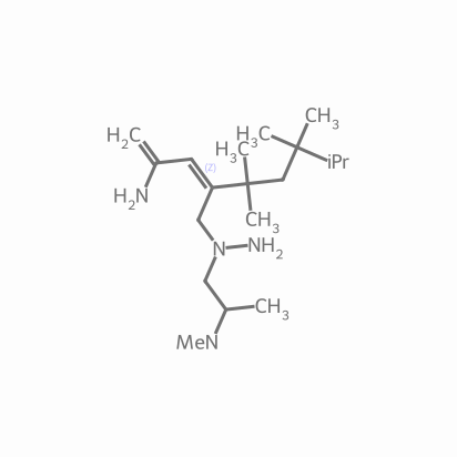 C=C(N)/C=C(\CN(N)CC(C)NC)C(C)(C)CC(C)(C)C(C)C